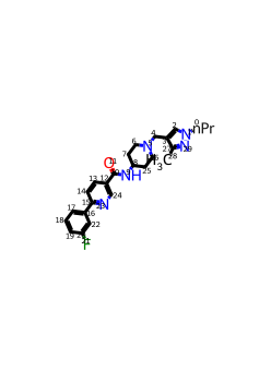 CCCn1cc(CN2CCC(NC(=O)c3ccc(-c4cccc(F)c4)nc3)CC2)c(C)n1